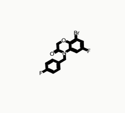 O=C1COc2c(Br)cc(F)cc2N1Cc1ccc(F)cc1